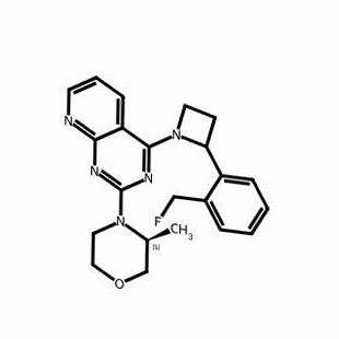 C[C@H]1COCCN1c1nc(N2CCC2c2ccccc2CF)c2cccnc2n1